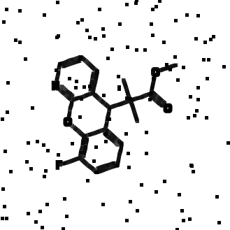 COC(=O)C(C)(C)C1c2cccnc2Oc2c(F)cccc21